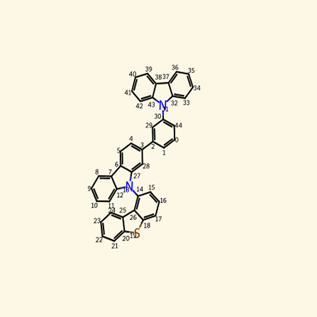 c1cc(-c2ccc3c4ccccc4n(-c4cccc5sc6ccccc6c45)c3c2)cc(-n2c3ccccc3c3ccccc32)c1